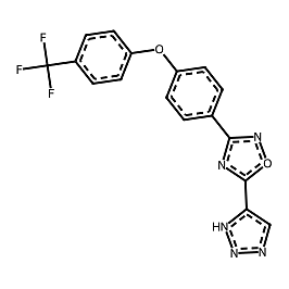 FC(F)(F)c1ccc(Oc2ccc(-c3noc(-c4cnn[nH]4)n3)cc2)cc1